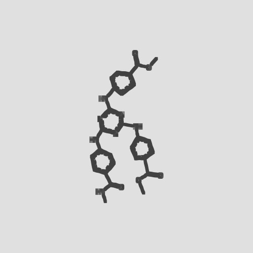 CNC(=O)c1ccc(Nc2nc(Nc3ccc(C(=O)OC)cc3)nc(Nc3ccc(C(=O)OC)cc3)n2)cc1